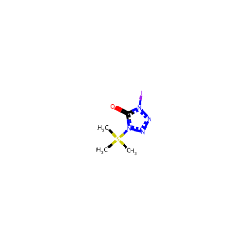 CS(C)(C)n1nnn(I)c1=O